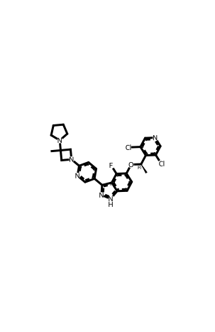 C[C@@H](Oc1ccc2[nH]nc(-c3ccc(N4CC(C)(N5CCCC5)C4)nc3)c2c1F)c1c(Cl)cncc1Cl